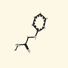 [CH2]NC(=O)COc1ccccc1